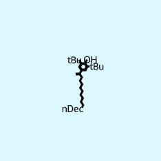 C=C(CCCCCCCCCCCCCCCCCCC)c1cc(C(C)(C)C)c(O)c(C(C)(C)C)c1